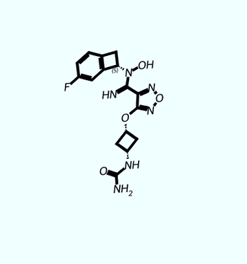 N=C(c1nonc1O[C@H]1C[C@@H](NC(N)=O)C1)N(O)[C@H]1Cc2ccc(F)cc21